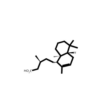 CC1=CC[C@H]2C(C)(C)CCC[C@]2(C)[C@H]1CC[C@H](C)CC(=O)O